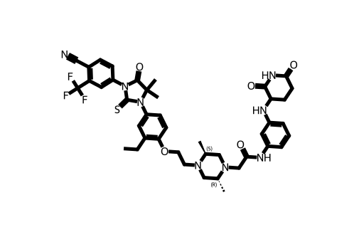 CCc1cc(N2C(=S)N(c3ccc(C#N)c(C(F)(F)F)c3)C(=O)C2(C)C)ccc1OCCN1C[C@@H](C)N(CC(=O)Nc2cccc(NC3CCC(=O)NC3=O)c2)C[C@@H]1C